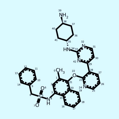 Cc1cc(NS(=O)(=O)Cc2ccccc2)c2ccccc2c1Oc1ncccc1-c1ccnc(N[C@H]2CC[C@H](N)CC2)n1